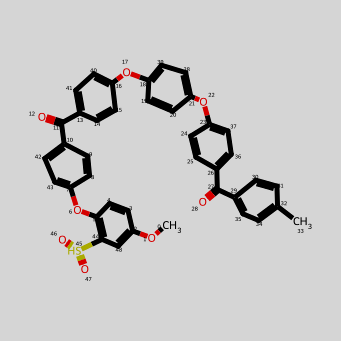 COc1ccc(Oc2ccc(C(=O)c3ccc(Oc4ccc(Oc5ccc(C(=O)c6ccc(C)cc6)cc5)cc4)cc3)cc2)c([SH](=O)=O)c1